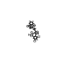 O=C(O)c1c(-c2c(Cl)cc(Cl)cc2Cl)noc1C1CN(S(=O)(=O)c2ccccc2[N+](=O)[O-])C1